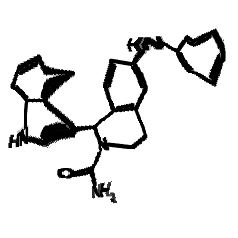 NC(=O)N1CCc2cc(Nc3ccccc3)ccc2C1c1c[nH]c2ccccc12